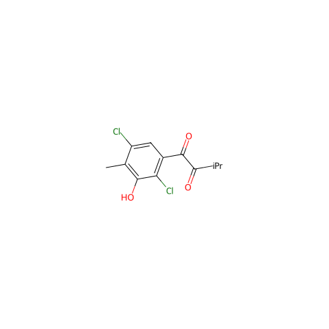 Cc1c(Cl)cc(C(=O)C(=O)C(C)C)c(Cl)c1O